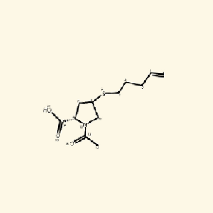 C=CCCCSC1C[C@@H](C(=O)O)N(C(C)=O)C1